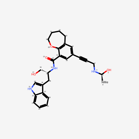 CN[C@H](O)NCC#Cc1cc2c(c(C(=O)N[C@@H](CO)Cc3c[nH]c4ccccc34)c1)OCCCC2